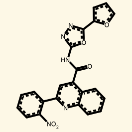 O=C(Nc1nnc(-c2ccco2)o1)c1cc(-c2ccccc2[N+](=O)[O-])nc2ccccc12